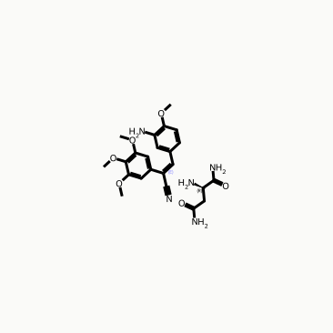 COc1ccc(/C=C(/C#N)c2cc(OC)c(OC)c(OC)c2)cc1N.NC(=O)C[C@@H](N)C(N)=O